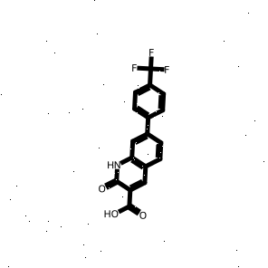 O=C(O)c1cc2ccc(-c3ccc(C(F)(F)F)cc3)cc2[nH]c1=O